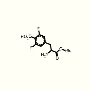 CC(C)(C)OC(=O)C(N)Cc1cc(F)c(C(=O)O)c(F)c1